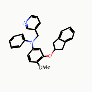 COc1ccc(N(Cc2cccnc2)c2ccccc2)cc1OC1Cc2ccccc2C1